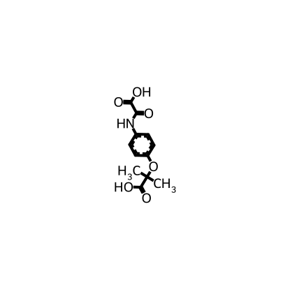 CC(C)(Oc1ccc(NC(=O)C(=O)O)cc1)C(=O)O